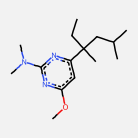 CCC(C)(CC(C)C)c1cc(OC)nc(N(C)C)n1